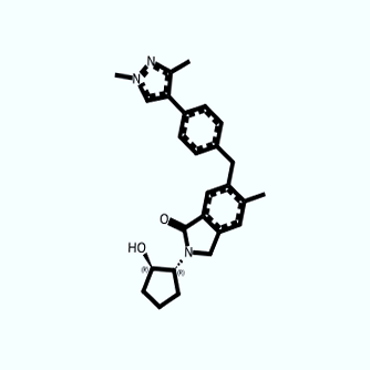 Cc1cc2c(cc1Cc1ccc(-c3cn(C)nc3C)cc1)C(=O)N([C@@H]1CCC[C@H]1O)C2